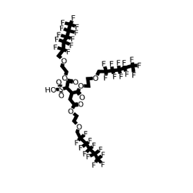 O=C(CC(C(=O)OCCOCC(F)(F)C(F)(F)C(F)(F)C(F)(F)C(F)(F)F)C(C(=O)OCCOCC(F)(F)C(F)(F)C(F)(F)C(F)(F)C(F)(F)F)S(=O)(=O)O)OCCOCC(F)(F)C(F)(F)C(F)(F)C(F)(F)C(F)(F)F